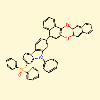 O=P(c1ccccc1)(c1ccccc1)c1ccc2c3ccc(-c4cc5c(c6ccccc46)OC4C=c6ccccc6=CC4O5)cc3n(-c3ccccc3)c2c1